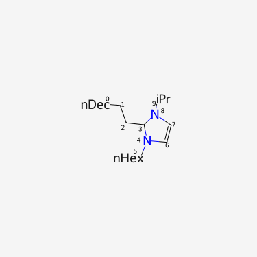 CCCCCCCCCCCCC1N(CCCCCC)C=CN1C(C)C